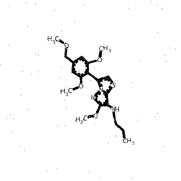 CCCNc1c(OC)nn2c(-c3c(OC)cc(COC)cc3OC)csc12